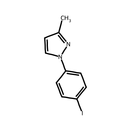 Cc1ccn(-c2ccc(I)cc2)n1